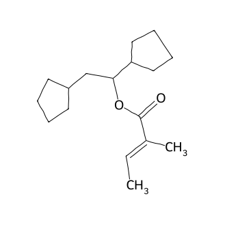 CC=C(C)C(=O)OC(CC1CCCC1)C1CCCC1